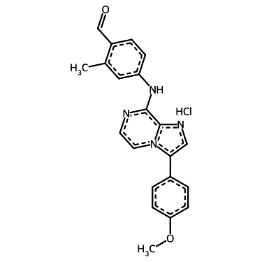 COc1ccc(-c2cnc3c(Nc4ccc(C=O)c(C)c4)nccn23)cc1.Cl